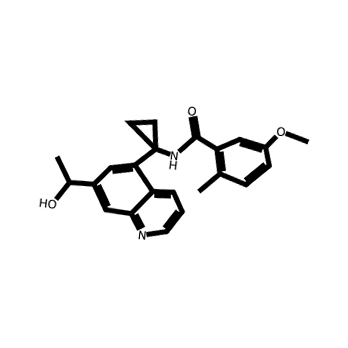 COc1ccc(C)c(C(=O)NC2(c3cc(C(C)O)cc4ncccc34)CC2)c1